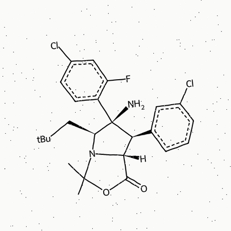 CC(C)(C)C[C@@H]1N2[C@@H](C(=O)OC2(C)C)[C@H](c2cccc(Cl)c2)[C@@]1(N)c1ccc(Cl)cc1F